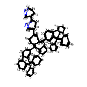 c1ccc(C2(c3ccccc3)c3ccccc3-c3ccc(-c4c5ccccc5c(-c5ccc6c(c5)C(c5ccccc5)(c5ccccc5)c5ccccc5-6)c5cc(-c6ccc(-c7cccnc7)nc6)ccc45)cc32)cc1